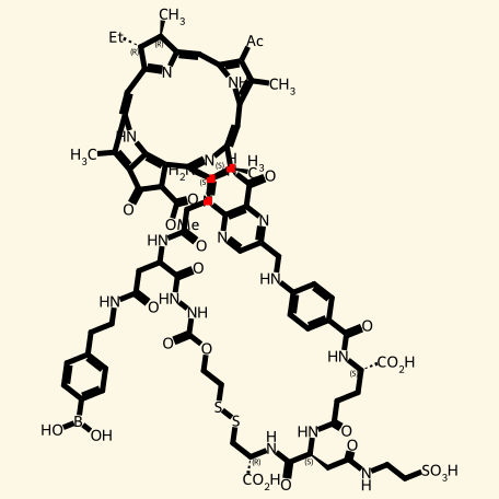 CC[C@H]1c2cc3[nH]c4c(c3C)C(=O)C(C(=O)OC)c4c3nc(cc4[nH]c(cc(n2)[C@@H]1C)c(C(C)=O)c4C)[C@@H](C)[C@@H]3CCC(=O)NC(CC(=O)NCCc1ccc(B(O)O)cc1)C(=O)NNC(=O)OCCSSC[C@H](NC(=O)[C@H](CC(=O)NCCS(=O)(=O)O)NC(=O)CC[C@H](NC(=O)c1ccc(NCc2cnc3nc(N)[nH]c(=O)c3n2)cc1)C(=O)O)C(=O)O